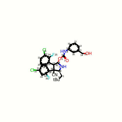 CC(C)(C)C[C@@H]1N[C@H](OC(=O)Nc2cccc(CO)c2)C(c2cccc(Cl)c2F)C1(C#N)c1ccc(Cl)cc1F